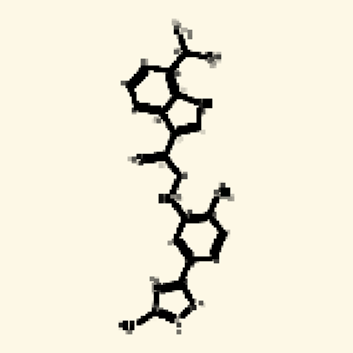 Cc1nsc(-c2ccc(C)c(NCC(=O)c3c[nH]c4c(C(C)O)cccc34)c2)n1